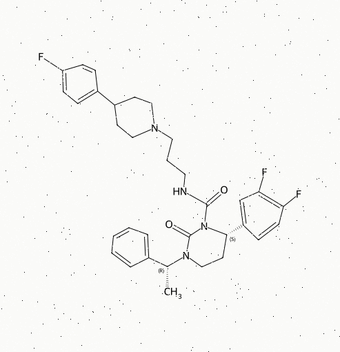 C[C@H](c1ccccc1)N1CC[C@@H](c2ccc(F)c(F)c2)N(C(=O)NCCCN2CCC(c3ccc(F)cc3)CC2)C1=O